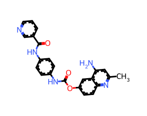 Cc1cc(N)c2cc(OC(=O)Nc3ccc(NC(=O)c4cccnc4)cc3)ccc2n1